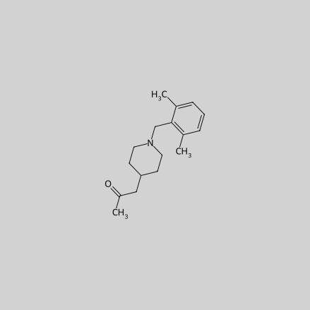 CC(=O)CC1CCN(Cc2c(C)cccc2C)CC1